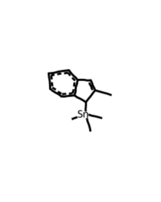 CC1=Cc2ccccc2[CH]1[Sn]([CH3])([CH3])[CH3]